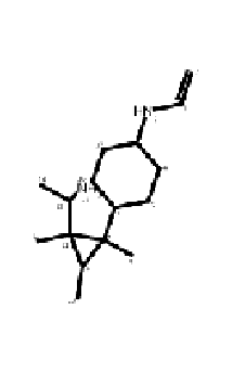 C=CNC1CCC(C2(C)C(C)C2(C)C(C)N)CC1